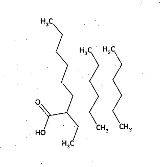 CCCCCC.CCCCCC.CCCCCCC(CC)C(=O)O